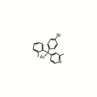 CC(=O)[C@@](c1ccc(Br)cc1)(c1ccnc(C)c1)c1ccccc1C